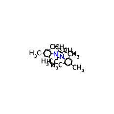 C=C1N(c2c(C)cc(C)cc2C)C(C)=C(C)N1c1c(C)cc(C)cc1C